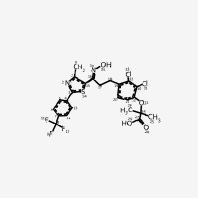 Cc1nc(-c2ccc(C(F)(F)F)cc2)sc1/C(CCc1ccc(OC(C)(C)C(=O)O)c(Cl)c1Cl)=N/O